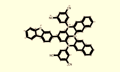 N#Cc1cc(C#N)cc(N2c3cc4ccccc4cc3B3c4cc5ccccc5cc4N(c4cc(C#N)cc(C#N)c4)c4cc(-c5ccc6c(c5)oc5ccccc56)cc2c43)c1